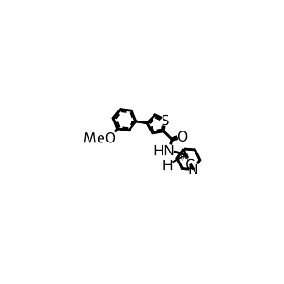 COc1cccc(-c2csc(C(=O)N[C@H]3CN4CCC3CC4)c2)c1